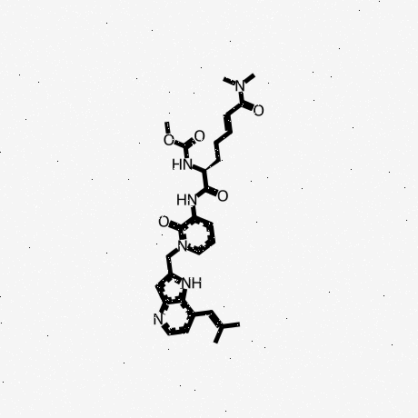 COC(=O)N[C@@H](CC/C=C/C(=O)N(C)C)C(=O)Nc1cccn(Cc2cc3nccc(C=C(C)C)c3[nH]2)c1=O